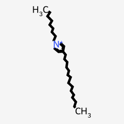 CCCCCCCCCCCCCCCc1cc[n+](CCCCCCCCC)cc1